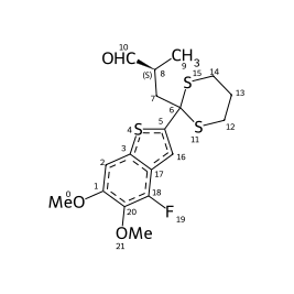 COc1cc2sc(C3(C[C@H](C)C=O)SCCCS3)cc2c(F)c1OC